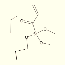 C=CCO[Si](OC)(OC)C(=O)C=C.CCC